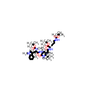 C/C(=C\[C@H](C(C)C)N(C)C(=O)C(NC(=O)[C@@H](N(C)C(=O)OC(C)(C)C)C(C)(C)c1cn(C)c2ccccc12)C(C)(C)C)C(=O)N[C@@H](CCCCNC(=O)OC(C)(C)C)C(=O)OC(C)(C)C